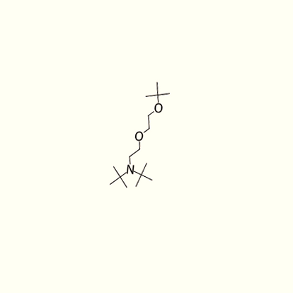 CC(C)(C)OCCOCCN(C(C)(C)C)C(C)(C)C